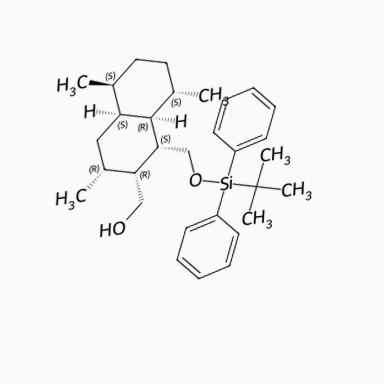 C[C@@H]1C[C@@H]2[C@H]([C@H](CO[Si](c3ccccc3)(c3ccccc3)C(C)(C)C)[C@@H]1CO)[C@@H](C)CC[C@@H]2C